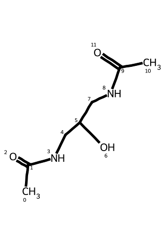 CC(=O)NCC(O)CNC(C)=O